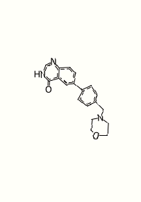 O=c1[nH]cnc2ccc(-c3ccc(CN4CCOCC4)cc3)cc12